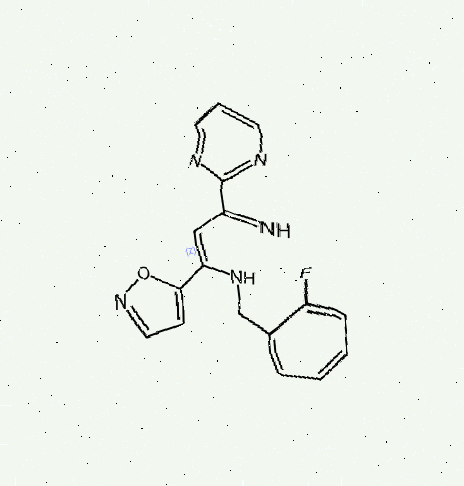 N=C(/C=C(\NCc1ccccc1F)c1ccno1)c1ncccn1